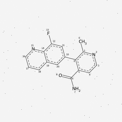 Cc1nccc(C(N)=O)c1-c1cc(F)c2ncccc2c1